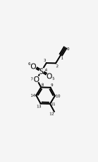 C#CCCS(=O)(=O)Oc1ccc(C)cc1